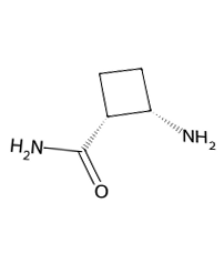 NC(=O)[C@@H]1CC[C@@H]1N